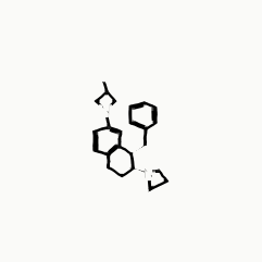 IC1CN(c2ccc3c(c2)[C@@H](Cc2ccccc2)[C@@H](N2CCC2)CC3)C1